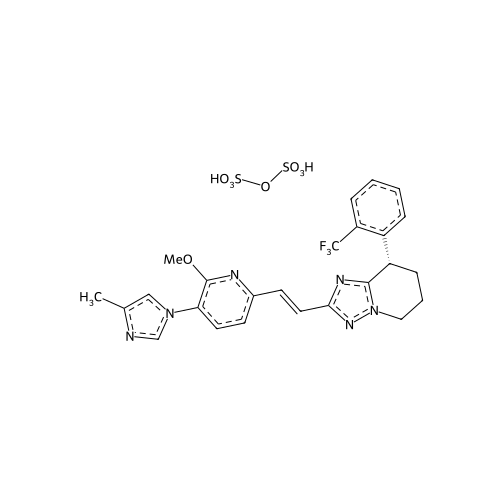 COc1nc(C=Cc2nc3n(n2)CCC[C@H]3c2ccccc2C(F)(F)F)ccc1-n1cnc(C)c1.O=S(=O)(O)OS(=O)(=O)O